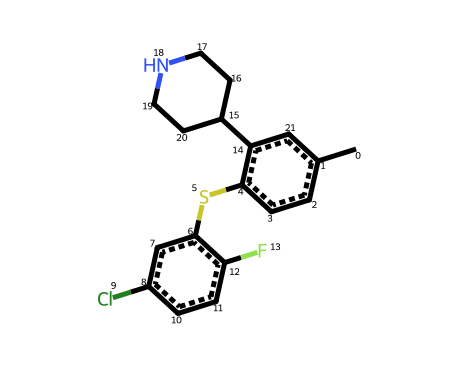 Cc1ccc(Sc2cc(Cl)ccc2F)c(C2CCNCC2)c1